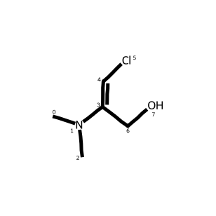 CN(C)C(=CCl)CO